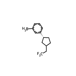 Bc1cccc([C@@H]2CCC(CC(F)(F)F)C2)c1